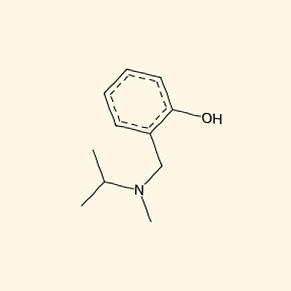 CC(C)N(C)Cc1ccccc1O